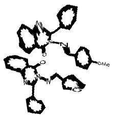 COc1ccc(C=Nn2c(-c3ccccc3)nc3ccccc3c2=O)cc1.O=c1c2ccccc2nc(-c2ccccc2)n1N=Cc1ccoc1